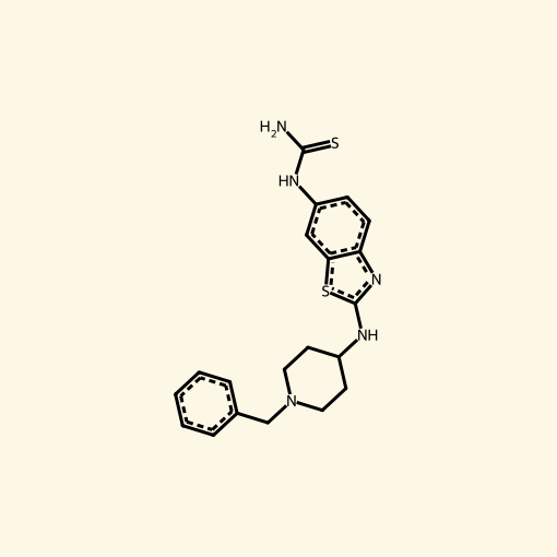 NC(=S)Nc1ccc2nc(NC3CCN(Cc4ccccc4)CC3)sc2c1